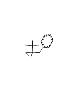 CC(C)(C)C1(Cc2ccccc2)CO1